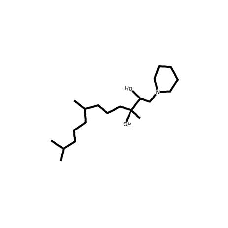 CC(C)CCCC(C)CCCC(C)(O)C(O)CN1CCCCC1